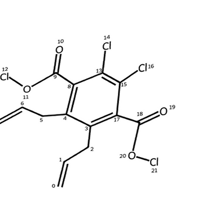 C=CCc1c(CC=C)c(C(=O)OCl)c(Cl)c(Cl)c1C(=O)OCl